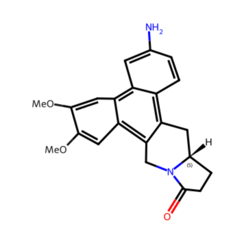 COc1cc2c3c(c4ccc(N)cc4c2cc1OC)C[C@@H]1CCC(=O)N1C3